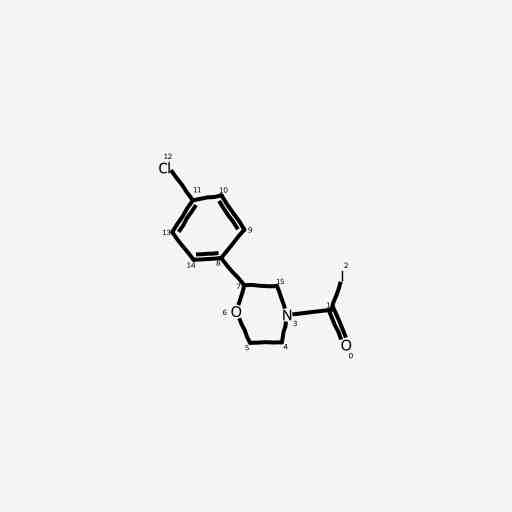 O=C(I)N1CCOC(c2ccc(Cl)cc2)C1